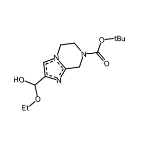 CCOC(O)c1cn2c(n1)CN(C(=O)OC(C)(C)C)CC2